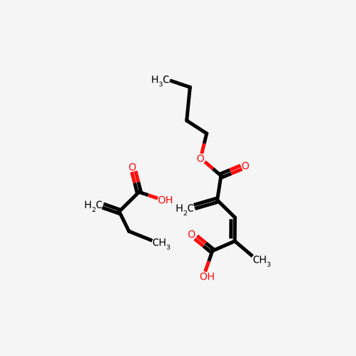 C=C(C=C(C)C(=O)O)C(=O)OCCCC.C=C(CC)C(=O)O